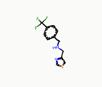 FC(F)(F)c1ccc(CNCc2cs[c]n2)cc1